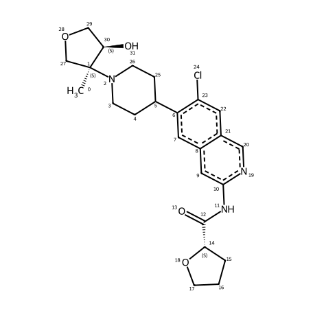 C[C@]1(N2CCC(c3cc4cc(NC(=O)[C@@H]5CCCO5)ncc4cc3Cl)CC2)COC[C@H]1O